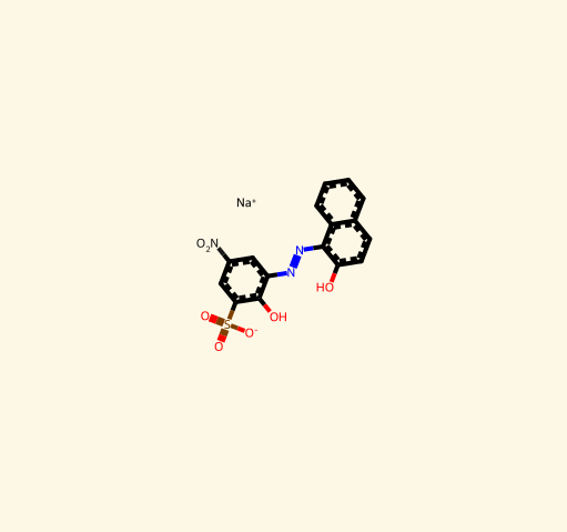 O=[N+]([O-])c1cc(N=Nc2c(O)ccc3ccccc23)c(O)c(S(=O)(=O)[O-])c1.[Na+]